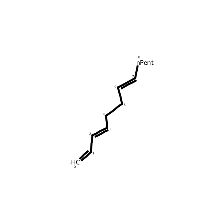 [CH]=CC=CCCC=CCCCCC